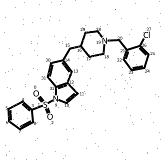 O=S(=O)(c1ccccc1)n1ccc2cc(CC3CCN(Cc4ccccc4Cl)CC3)ccc21